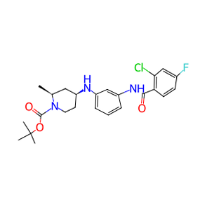 C[C@H]1C[C@@H](Nc2cccc(NC(=O)c3ccc(F)cc3Cl)c2)CCN1C(=O)OC(C)(C)C